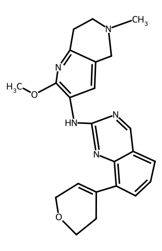 COc1nc2c(cc1Nc1ncc3cccc(C4=CCOCC4)c3n1)CN(C)CC2